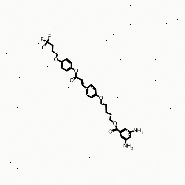 Nc1cc(N)cc(C(=O)OCCCCCOc2ccc(C=CC(=O)Oc3ccc(OCCCC(F)(F)F)cc3)cc2)c1